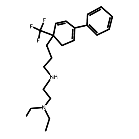 CCN(CC)CCNCCCC1(C(F)(F)F)C=CC(c2ccccc2)=CC1